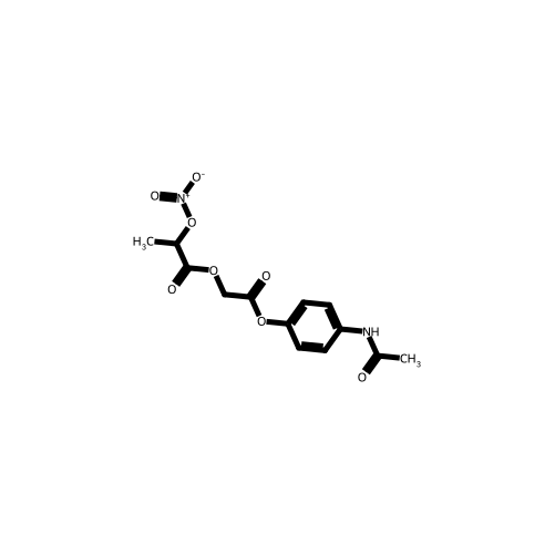 CC(=O)Nc1ccc(OC(=O)COC(=O)C(C)O[N+](=O)[O-])cc1